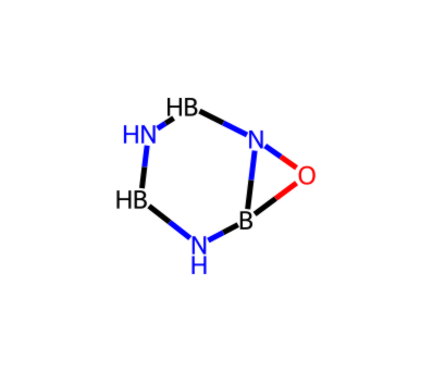 B1NBN2OB2N1